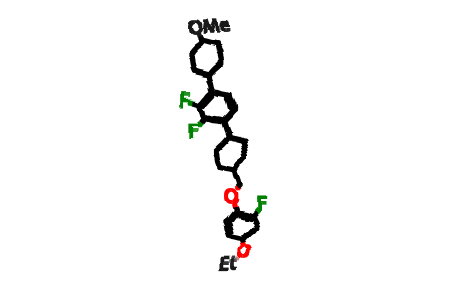 CCOc1ccc(OCC2CCC(c3ccc(C4CCC(OC)CC4)c(F)c3F)CC2)c(F)c1